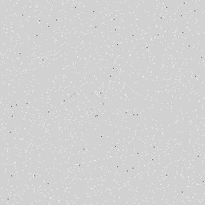 CCCc1c(OC)ccc(C(C)=O)c1O